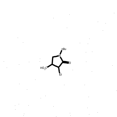 CCCCN1CC(C(=O)O)C(CC)C1=O